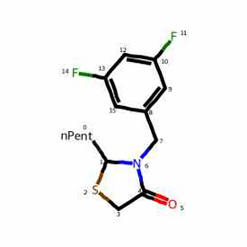 CCCCCC1SCC(=O)N1Cc1cc(F)cc(F)c1